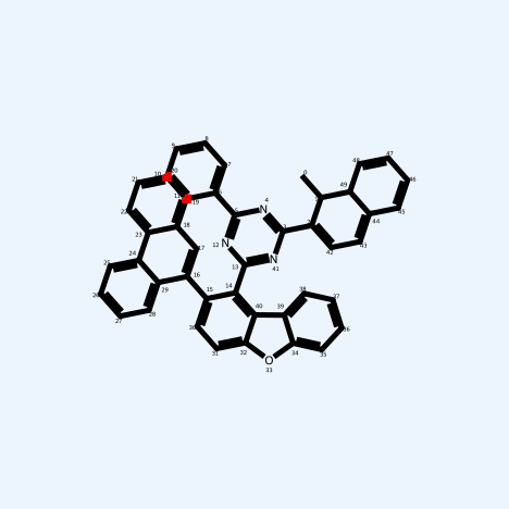 CC1C(c2nc(-c3ccccc3)nc(-c3c(-c4cc5ccccc5c5ccccc45)ccc4oc5ccccc5c34)n2)=CC=C2C=CC=CC21